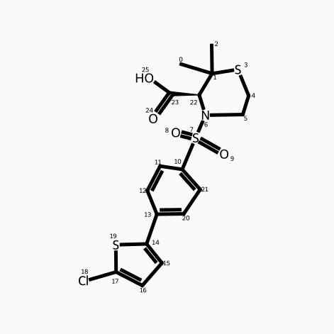 CC1(C)SCCN(S(=O)(=O)c2ccc(-c3ccc(Cl)s3)cc2)[C@H]1C(=O)O